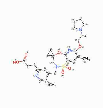 Cc1cnc(CCC(=O)O)cc1CN1CC2(CC2)Oc2nc(OCCN3CCCC3)c(C)cc2S1(=O)=O